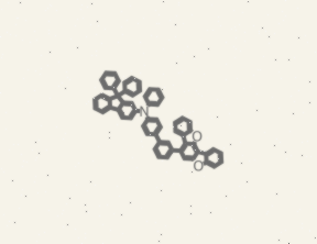 c1ccc(N(c2ccc(-c3cccc(-c4cc5oc6ccccc6c5c5oc6ccccc6c45)c3)cc2)c2ccc3c(c2)C(c2ccccc2)(c2ccccc2)c2ccccc2-3)cc1